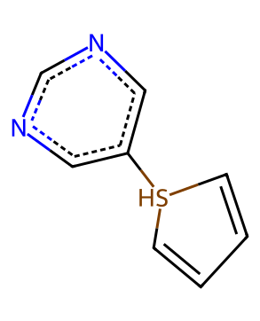 C1=C[SH](c2cncnc2)C=C1